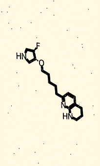 F[C@@H]1CNC[C@H]1OCCCCCc1ccc2c(n1)NCCC2